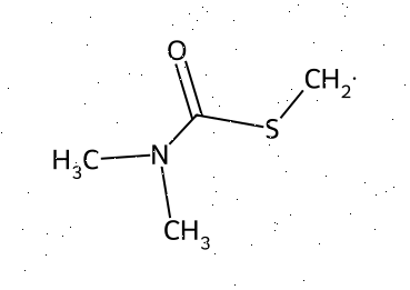 [CH2]SC(=O)N(C)C